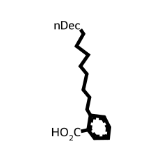 CCCCCCCCCCCCCCCCCCc1ccccc1C(=O)O